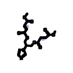 COC(=O)/C=C/C(=O)OCC(COC(=O)/C=C/C(=O)OC)n1ccnc1